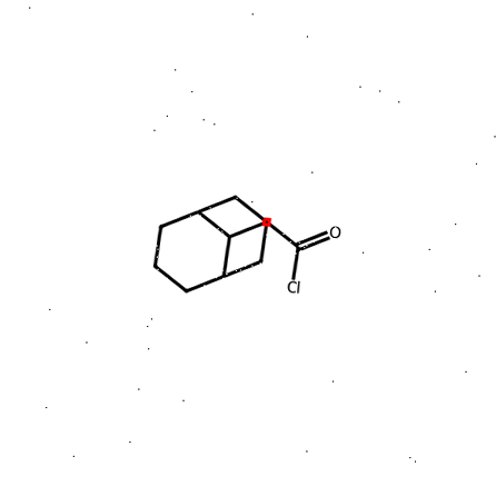 O=C(Cl)CC1C2CCCC1CCC2